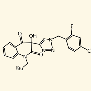 CCC(C)CN1C(=O)C(O)(c2cn(Cc3ccc(C(F)(F)F)cc3F)nn2)C(=O)c2ccccc21